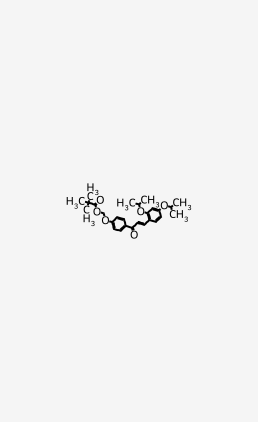 CC(C)Oc1ccc(C=CC(=O)c2ccc(OCOC(=O)C(C)(C)C)cc2)c(OC(C)C)c1